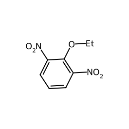 CCOc1c([N+](=O)[O-])cccc1[N+](=O)[O-]